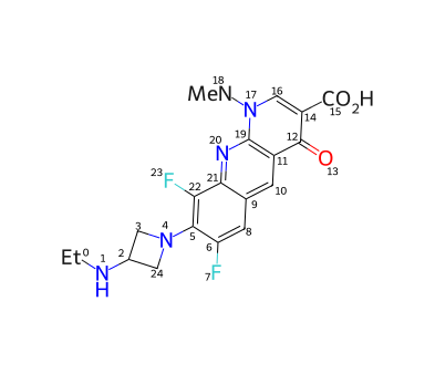 CCNC1CN(c2c(F)cc3cc4c(=O)c(C(=O)O)cn(NC)c4nc3c2F)C1